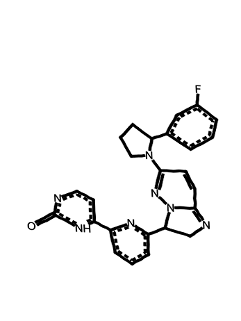 O=c1nccc(-c2cccc(C3CN=C4C=CC(N5CCCC5c5cccc(F)c5)=NN43)n2)[nH]1